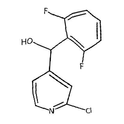 OC(c1ccnc(Cl)c1)c1c(F)cccc1F